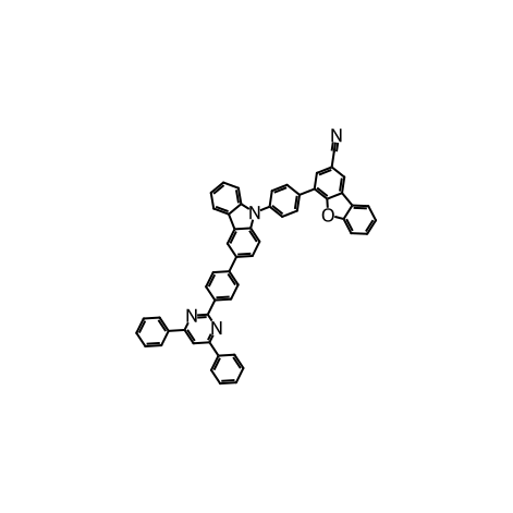 N#Cc1cc(-c2ccc(-n3c4ccccc4c4cc(-c5ccc(-c6nc(-c7ccccc7)cc(-c7ccccc7)n6)cc5)ccc43)cc2)c2oc3ccccc3c2c1